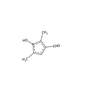 Cc1cc(C=O)c(C)n1O